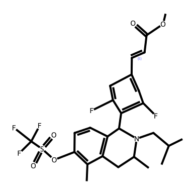 COC(=O)/C=C/c1cc(F)c(C2c3ccc(OS(=O)(=O)C(F)(F)F)c(C)c3CC(C)N2CC(C)C)c(F)c1